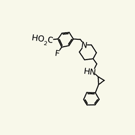 O=C(O)c1ccc(CN2CCC(CNC3CC3c3ccccc3)CC2)cc1F